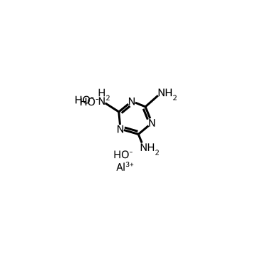 Nc1nc(N)nc(N)n1.[Al+3].[OH-].[OH-].[OH-]